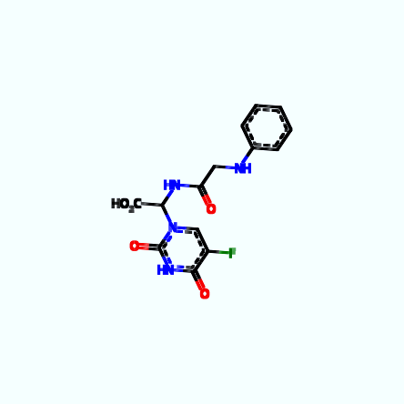 O=C(CNc1ccccc1)NC(C(=O)O)n1cc(F)c(=O)[nH]c1=O